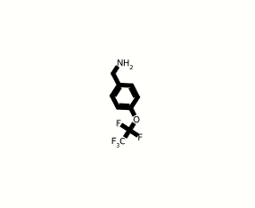 NCc1ccc(OC(F)(F)C(F)(F)F)cc1